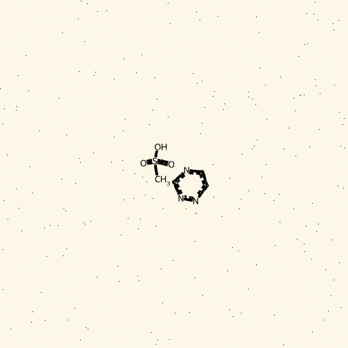 CS(=O)(=O)O.c1cnncn1